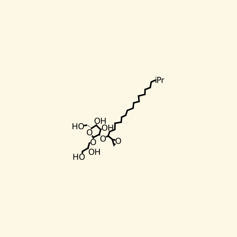 CC(C)CCCCCCCCCCCCCCCC(O[C@H]1C(OCC(O)CO)O[C@H](CO)[C@@H](O)[C@@H]1O)C1CO1